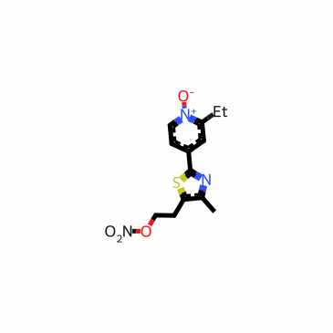 CCc1cc(-c2nc(C)c(CCO[N+](=O)[O-])s2)cc[n+]1[O-]